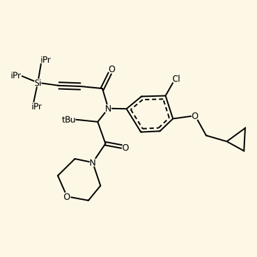 CC(C)[Si](C#CC(=O)N(c1ccc(OCC2CC2)c(Cl)c1)C(C(=O)N1CCOCC1)C(C)(C)C)(C(C)C)C(C)C